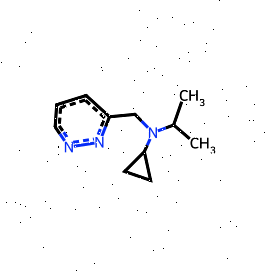 CC(C)N(Cc1cccnn1)C1CC1